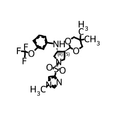 Cn1cnc(S(=O)(=O)N2C[C@H](Nc3cccc(OC(F)(F)F)c3)[C@@H](C3OCC(C)(C)CO3)C2)c1